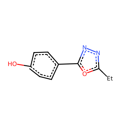 CCc1nnc(-c2ccc(O)cc2)o1